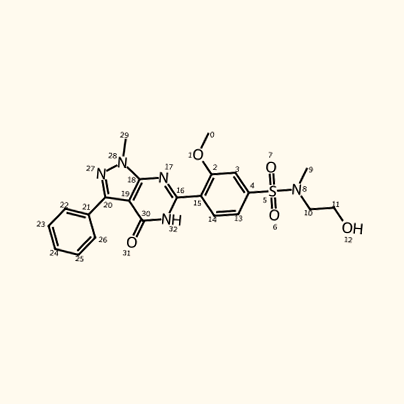 COc1cc(S(=O)(=O)N(C)CCO)ccc1-c1nc2c(c(-c3ccccc3)nn2C)c(=O)[nH]1